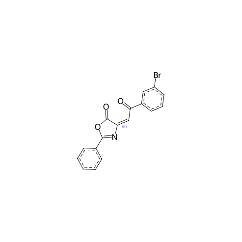 O=C1OC(c2ccccc2)=N/C1=C/C(=O)c1cccc(Br)c1